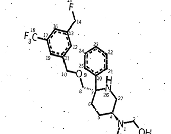 CCCCN(CO)[C@H]1CC[C@@](COCc2cc(CF)cc(C(F)(F)F)c2)(c2ccccc2)NC1